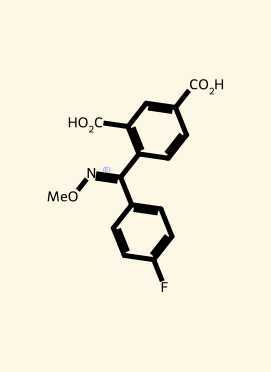 CO/N=C(\c1ccc(F)cc1)c1ccc(C(=O)O)cc1C(=O)O